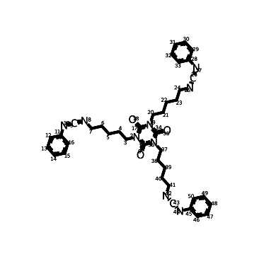 O=c1n(CCCCCN=C=Nc2ccccc2)c(=O)n(CCCCCN=C=Nc2ccccc2)c(=O)n1CCCCCN=C=Nc1ccccc1